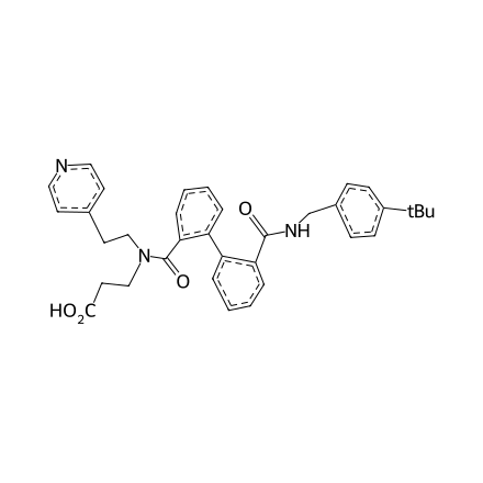 CC(C)(C)c1ccc(CNC(=O)c2ccccc2-c2ccccc2C(=O)N(CCC(=O)O)CCc2ccncc2)cc1